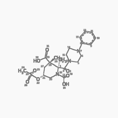 C[C@]1(C(=O)N2CCN(c3ccccc3)CC2)N(C(=O)O)C[C@H](OS(C)(=O)=O)C[C@]1(C)C(=O)O